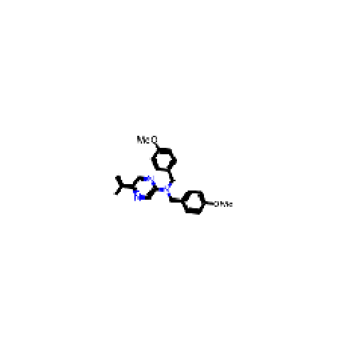 C=C(C)c1cnc(N(Cc2ccc(OC)cc2)Cc2ccc(OC)cc2)cn1